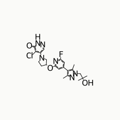 Cc1nn(CC(C)(C)O)c(C)c1-c1cc(F)nc(O[C@@H]2CCN(c3cn[nH]c(=O)c3Cl)C2)c1